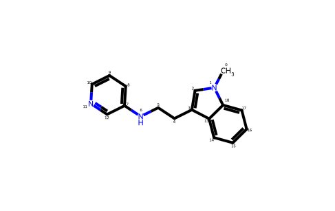 Cn1cc(CCNc2cccnc2)c2ccccc21